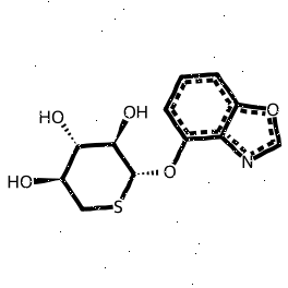 O[C@@H]1[C@@H](O)[C@H](Oc2cccc3ocnc23)SC[C@H]1O